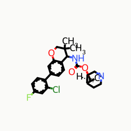 CC1(C)COc2cc(-c3ccc(F)cc3Cl)ccc2C1NC(=O)O[C@H]1CN2CCC1CC2